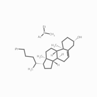 CC(C)CCCC(C)[C@H]1CC[C@H]2[C@@H]3CC=C4C[C@@H](O)CC[C@]4(C)[C@H]3CC[C@]12C.CCN(C)C(C)=O